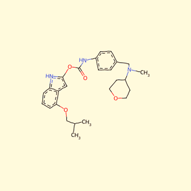 CC(C)COc1cccc2[nH]c(OC(=O)Nc3ccc(CN(C)C4CCOCC4)cc3)cc12